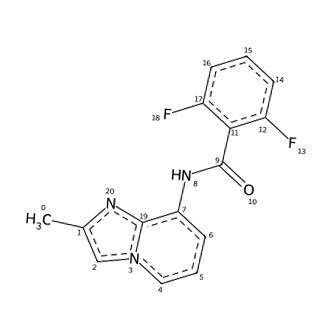 Cc1cn2cccc(NC(=O)c3c(F)cccc3F)c2n1